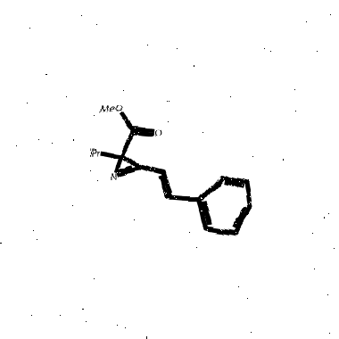 COC(=O)C1(C(C)C)N=C1C=Cc1ccccc1